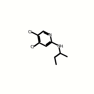 CCC(C)Nc1cc(Cl)c(Cl)cn1